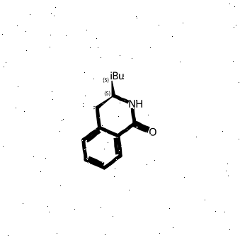 CC[C@H](C)[C@@H]1[C]c2ccccc2C(=O)N1